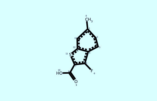 Cc1ccc2c(F)c(C(=O)O)sc2c1